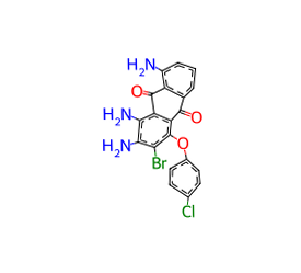 Nc1cccc2c1C(=O)c1c(N)c(N)c(Br)c(Oc3ccc(Cl)cc3)c1C2=O